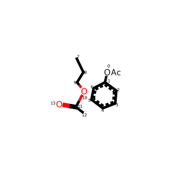 CC(=O)Oc1ccccc1.CCCOC(C)=O